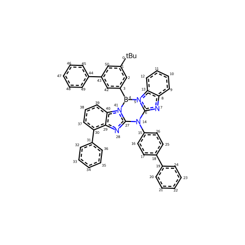 CC(C)(C)c1cc(B2n3c(nc4ccccc43)N(c3ccc(-c4ccccc4)cc3)c3nc4c(-c5ccccc5)cccc4n32)cc(-c2ccccc2)c1